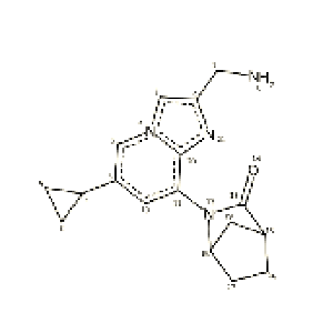 NCc1cn2cc(C3CC3)cc(N3C(=O)C4CCC3C4)c2n1